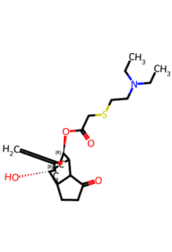 C=C1C[C@@H](OC(=O)CSCCN(CC)CC)C2CCCC3(CCC(=O)C23)C[C@H]1O